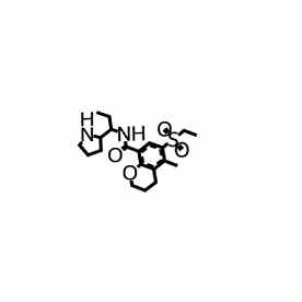 CCC(NC(=O)c1cc(S(=O)(=O)CC)c(C)c2c1OCCC2)C1CCCN1